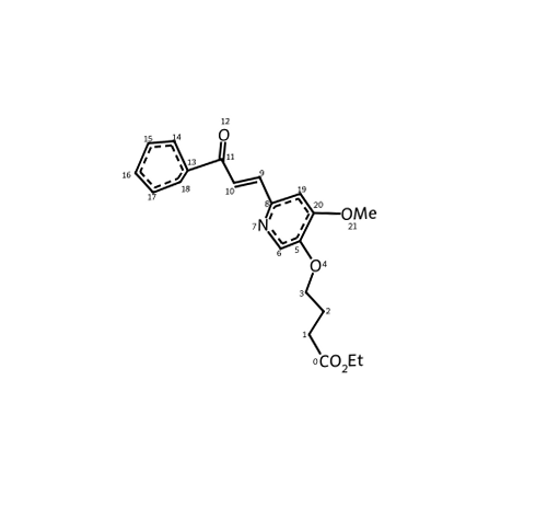 CCOC(=O)CCCOc1cnc(/C=C/C(=O)c2ccccc2)cc1OC